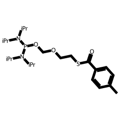 Cc1ccc(C(=O)SCCOCOP(N(C(C)C)C(C)C)N(C(C)C)C(C)C)cc1